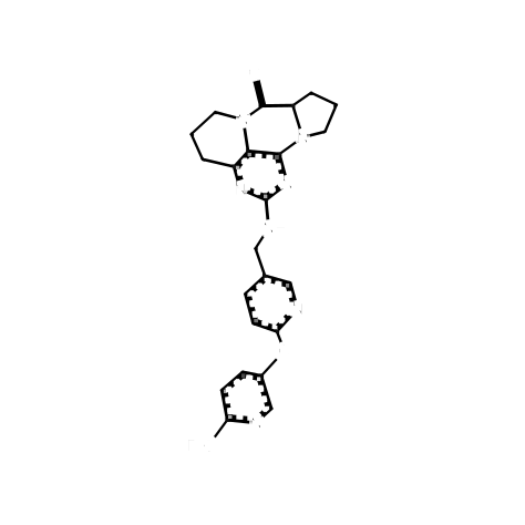 O=C1C2CCCN2c2nc(NCc3ccc(Oc4ccc(C(F)(F)F)nc4)nc3)nc3c2N1CCC3